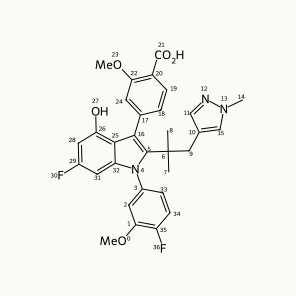 COc1cc(-n2c(C(C)(C)Cc3cnn(C)c3)c(-c3ccc(C(=O)O)c(OC)c3)c3c(O)cc(F)cc32)ccc1F